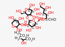 CC(=O)O.CC(O)C(=O)O.O=C[C@H](O)[C@@H](O)[C@H](O)[C@H](O)CO.OC1OC[C@@H](O)[C@H](O)[C@H]1O.OC[C@H]1O[C@@H](O[C@H]2[C@H](O)[C@@H](O)[C@H](O)O[C@@H]2CO)[C@H](O)[C@@H](O)[C@@H]1O